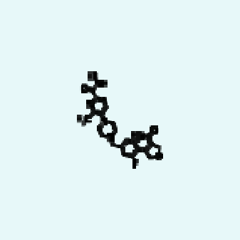 CCNC(=O)c1ccc(N2CCN(Cc3cc(F)c4c5c(c(=O)[nH]c4c3)COC5)CC2)c(C(F)(F)F)n1